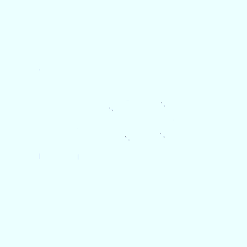 CC(CCc1nc2c(ncn2CC(F)(F)F)c(=O)n1-c1ccc(Cl)cc1)C(F)(F)F